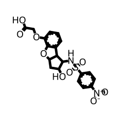 O=C(O)COc1cccc2c1OC1CC(O)C(NS(=O)(=O)c3ccc([N+](=O)[O-])cc3)C21